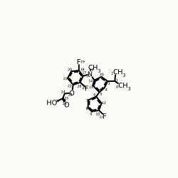 CC(C)c1cc(-c2cccc(F)c2)cc(N(C)c2c(F)ccc(OCC(=O)O)c2F)c1